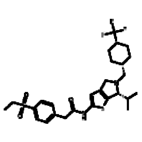 CCS(=O)(=O)c1ccc(CC(=O)Nc2cc3c(s2)[C@@H](C(C)C)N(C[C@H]2CC[C@H](C(F)(F)F)CC2)C3)cc1